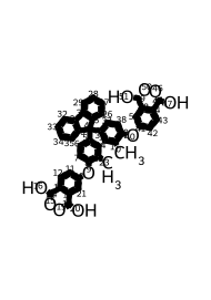 Cc1cc(C2(c3ccc(Oc4ccc(C(=O)O)c(C(=O)O)c4)c(C)c3)c3ccccc3-c3ccccc32)ccc1Oc1ccc(C(=O)O)c(C(=O)O)c1